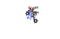 COC(=O)C(Cc1ccccc1)NC(=O)C(CC(C)C)NC(=O)C(N)CCc1ccccc1.Cl